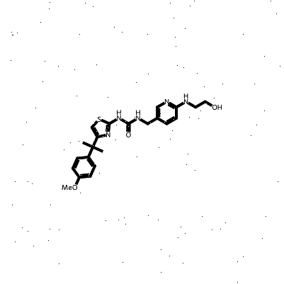 COc1ccc(C(C)(C)c2csc(NC(=O)NCc3ccc(NCCO)nc3)n2)cc1